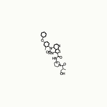 Cc1cc(Oc2ccccc2)ccc1N1C(=O)Nc2c(C(=O)N[C@@H]3CCCN(C(=O)C(C)CO)C3)sc3nccc1c23